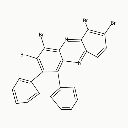 Brc1ccc2nc3c(-c4ccccc4)c(-c4ccccc4)c(Br)c(Br)c3nc2c1Br